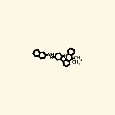 CC1(C)c2ccccc2-n2c3c(c4cccc1c42)C/C(=N/Nc1ccc2ccccc2c1)CC3